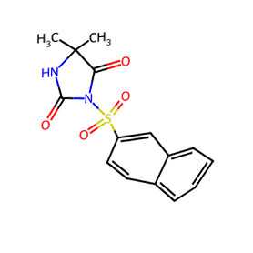 CC1(C)NC(=O)N(S(=O)(=O)c2ccc3ccccc3c2)C1=O